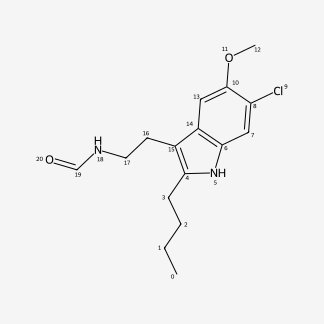 CCCCc1[nH]c2cc(Cl)c(OC)cc2c1CCNC=O